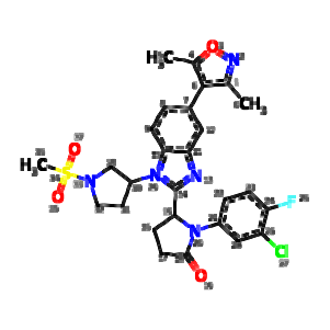 Cc1noc(C)c1-c1ccc2c(c1)nc(C1CCC(=O)N1c1ccc(F)c(Cl)c1)n2C1CCN(S(C)(=O)=O)C1